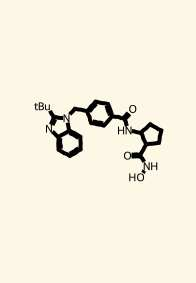 CC(C)(C)c1nc2ccccc2n1Cc1ccc(C(=O)NC2CCCC2C(=O)NO)cc1